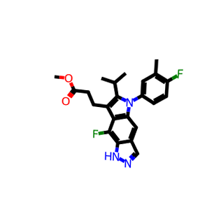 COC(=O)CCc1c(C(C)C)n(-c2ccc(F)c(C)c2)c2cc3cn[nH]c3c(F)c12